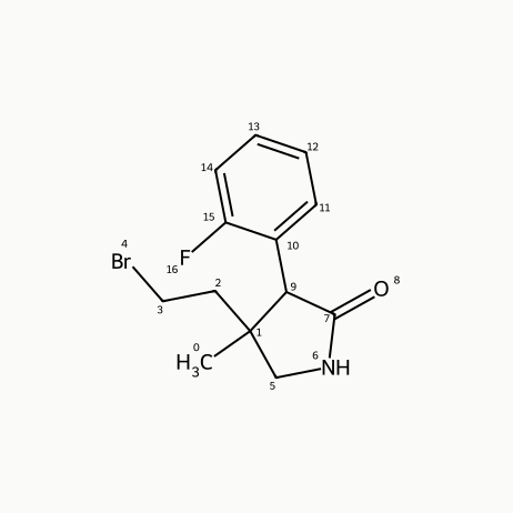 CC1(CCBr)CNC(=O)C1c1ccccc1F